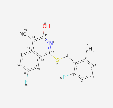 Cc1cccc(F)c1CSc1nc(O)c(C#N)c2ccc(F)cc12